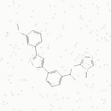 COc1cccc(-c2cc(-c3cccc(C(C)Sc4nncn4C)c3)on2)c1